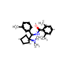 Cc1cccc(C(NC(=O)c2c(C)cccc2C)C2(N(C)C)CCCC2)c1